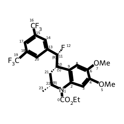 CCOC(=O)N1c2cc(OC)c(OC)cc2[C@@H]([C@@H](F)c2cc(C(F)(F)F)cc(C(F)(F)F)c2)C[C@H]1C